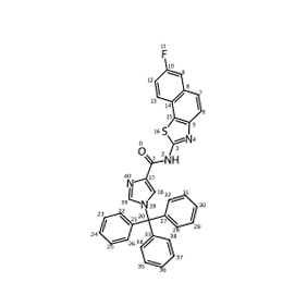 O=C(Nc1nc2ccc3cc(F)ccc3c2s1)c1cn(C(c2ccccc2)(c2ccccc2)c2ccccc2)cn1